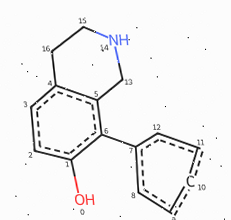 Oc1ccc2c(c1-c1ccccc1)CNCC2